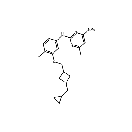 CCc1ccc(Nc2nc(C)cc(NC)n2)cc1OCC1CN(CC2CC2)C1